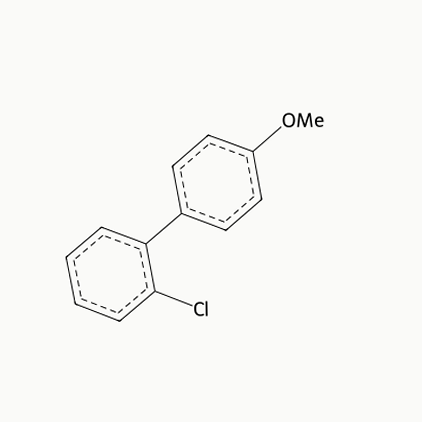 COc1ccc(-c2ccccc2Cl)cc1